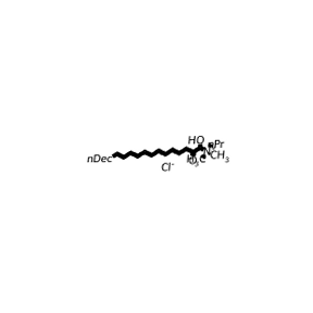 CCCCCCCCCCCCCCCCCCCCCC(=O)C(O)[N+](C)(C)CCC.[Cl-]